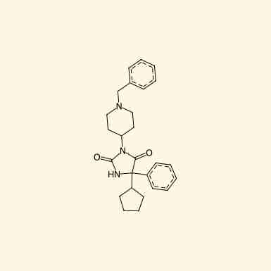 O=C1NC(c2ccccc2)(C2CCCC2)C(=O)N1C1CCN(Cc2ccccc2)CC1